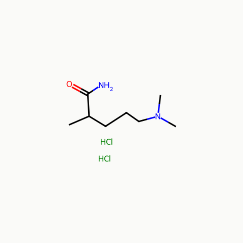 CC(CCCN(C)C)C(N)=O.Cl.Cl